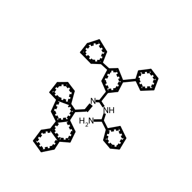 NC(NC(/N=C/c1c2ccccc2cc2c1ccc1ccccc12)c1cc(-c2ccccc2)cc(-c2ccccc2)c1)c1ccccc1